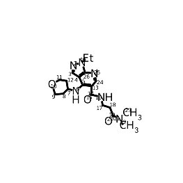 CCn1ncc2c(NC3CCOCC3)c(C(=O)NCCC(=O)N(C)C)cnc21